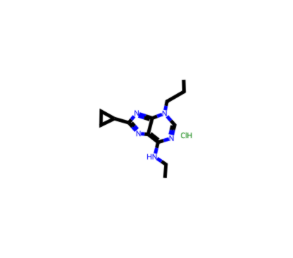 CCCn1cnc(NCC)c2nc(C3CC3)nc1-2.Cl